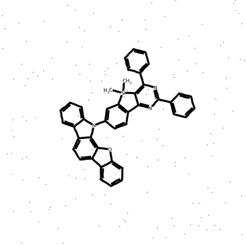 C[Si]1(C)c2cc(-n3c4ccccc4c4ccc5c6ccccc6oc5c43)ccc2-c2nc(-c3ccccc3)nc(-c3ccccc3)c21